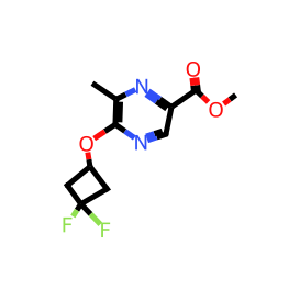 COC(=O)c1cnc(OC2CC(F)(F)C2)c(C)n1